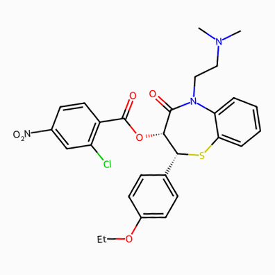 CCOc1ccc([C@H]2Sc3ccccc3N(CCN(C)C)C(=O)[C@H]2OC(=O)c2ccc([N+](=O)[O-])cc2Cl)cc1